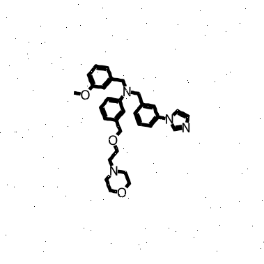 COc1cccc(CN(Cc2cccc(-n3ccnc3)c2)c2cccc(COCCN3CCOCC3)c2)c1